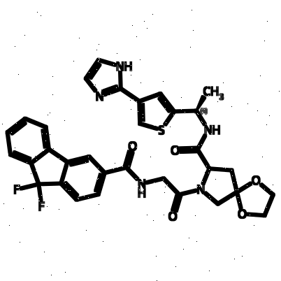 C[C@@H](NC(=O)C1CC2(CN1C(=O)CNC(=O)c1ccc3c(c1)-c1ccccc1C3(F)F)OCCO2)c1cc(-c2ncc[nH]2)cs1